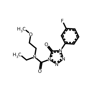 CCN(CCOC)C(=O)n1nnn(-c2cccc(F)c2)c1=O